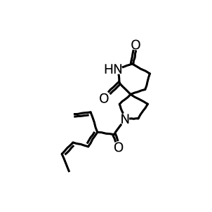 C=C/C(=C\C=C/C)C(=O)N1CCC2(CCC(=O)NC2=O)C1